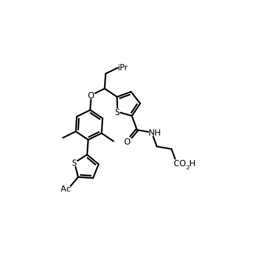 CC(=O)c1ccc(-c2c(C)cc(OC(CC(C)C)c3ccc(C(=O)NCCC(=O)O)s3)cc2C)s1